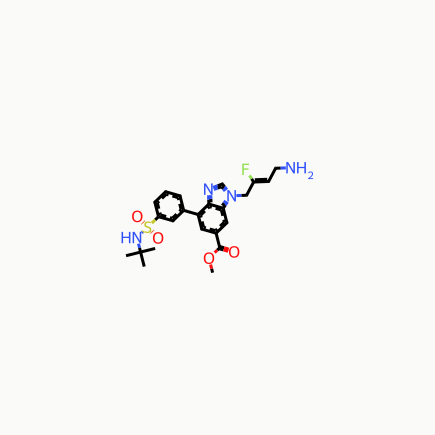 COC(=O)c1cc(-c2cccc(S(=O)(=O)NC(C)(C)C)c2)c2ncn(C/C(F)=C/CN)c2c1